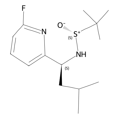 CC(C)C[C@H](N[S@+]([O-])C(C)(C)C)c1cccc(F)n1